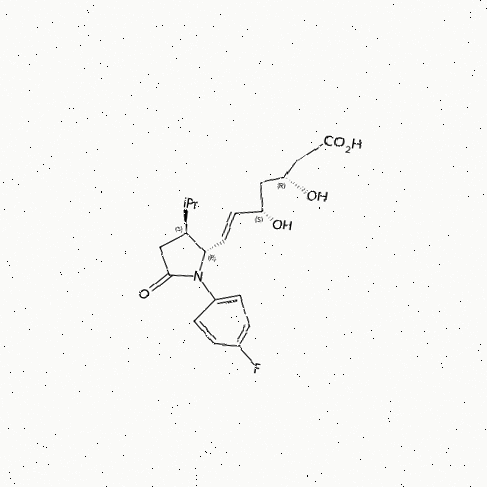 CC(C)[C@@H]1CC(=O)N(c2ccc(F)cc2)[C@H]1C=C[C@@H](O)C[C@@H](O)CC(=O)O